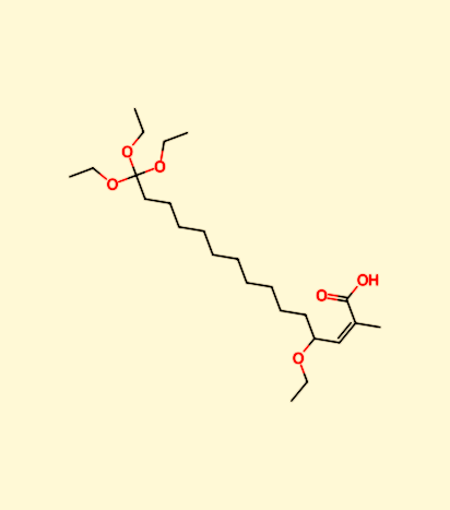 CCOC(C=C(C)C(=O)O)CCCCCCCCCCC(OCC)(OCC)OCC